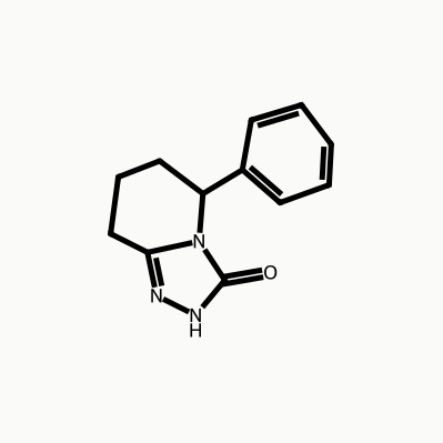 O=c1[nH]nc2n1C(c1ccccc1)CCC2